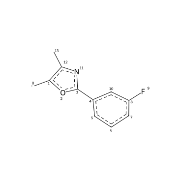 [CH2]c1oc(-c2cccc(F)c2)nc1C